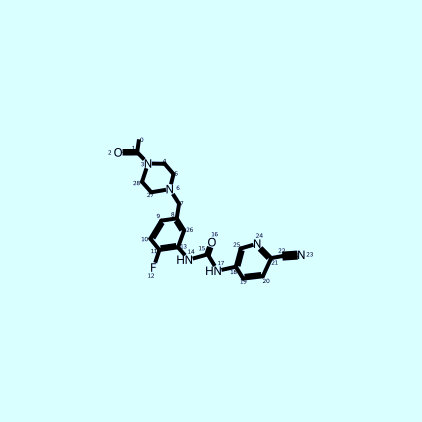 CC(=O)N1CCN(Cc2ccc(F)c(NC(=O)Nc3ccc(C#N)nc3)c2)CC1